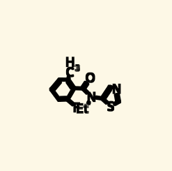 CCN(C(=O)c1c(C)cccc1F)c1cncs1